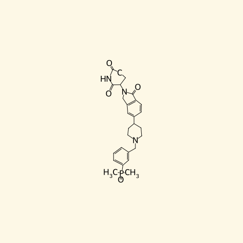 CP(C)(=O)c1cccc(CN2CCC(c3ccc4c(c3)CN(C3CCC(=O)NC3=O)C4=O)CC2)c1